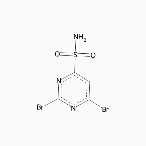 NS(=O)(=O)c1cc(Br)nc(Br)n1